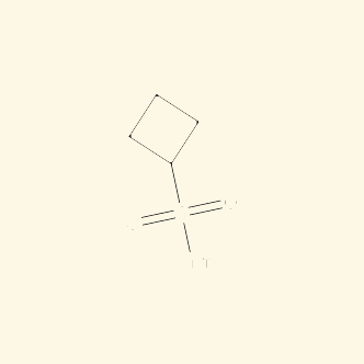 [CH2]C(C)S(=O)(=O)C1CCC1